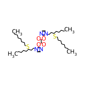 CCCCCCCCSC(CCCCC)CCn1ccnc1OC(=O)C(=O)Oc1nccn1CCC(CCCCC)SCCCCCCCC